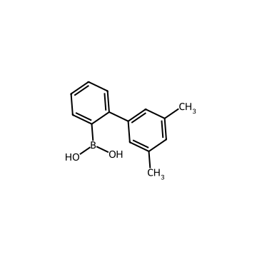 Cc1cc(C)cc(-c2ccccc2B(O)O)c1